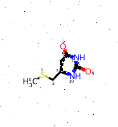 CSCc1cc(=O)[nH]c(=O)[nH]1